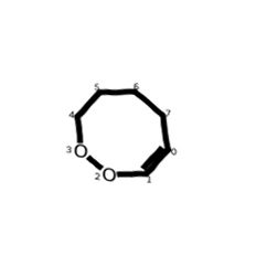 C1=COOCCCC1